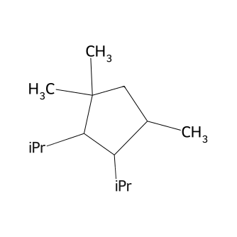 CC(C)C1C(C)CC(C)(C)C1C(C)C